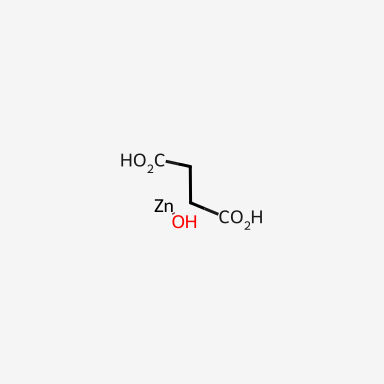 O=C(O)CCC(=O)O.[OH][Zn]